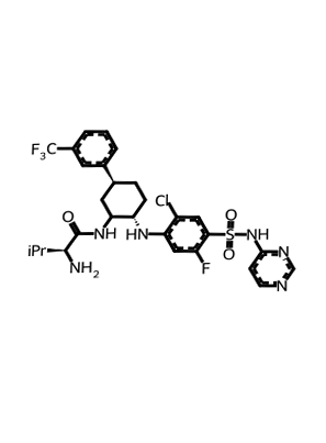 CC(C)[C@H](N)C(=O)NC1C[C@@H](c2cccc(C(F)(F)F)c2)CC[C@@H]1Nc1cc(F)c(S(=O)(=O)Nc2ccncn2)cc1Cl